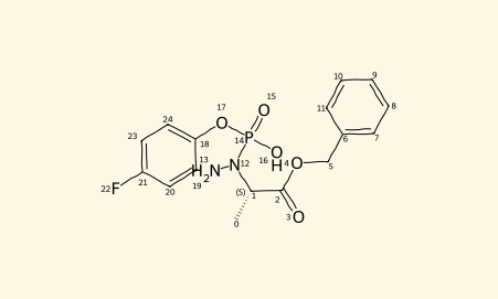 C[C@@H](C(=O)OCc1ccccc1)N(N)P(=O)(O)Oc1ccc(F)cc1